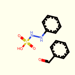 O=Cc1ccccc1.O=S(=O)(O)NNc1ccccc1